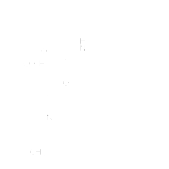 Cc1ccc(C(=O)O)c(OC(=O)Nc2cccc3ccccc23)n1